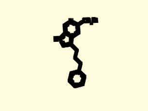 CCOC(=O)c1cc2c(CCCc3ccccc3)c[nH]c2cn1